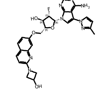 Cc1ccn(-c2cn([C@@H]3O[C@H](COc4ccc5ccc(N6CC(O)C6)nc5c4)[C@@H](O)[C@@H]3F)c3ncnc(N)c23)n1